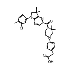 CC1(C)CN(c2ccc(F)c(Cl)c2)c2ncc(C(=O)N3CCN(c4ccc(CC(=O)O)cn4)CC3(C)C)nc21